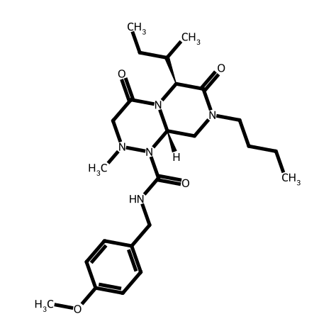 CCCCN1C[C@H]2N(C(=O)CN(C)N2C(=O)NCc2ccc(OC)cc2)[C@@H](C(C)CC)C1=O